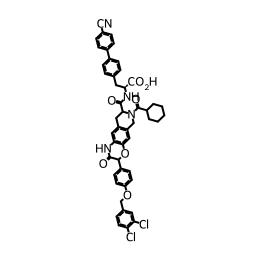 N#Cc1ccc(-c2ccc(C[C@H](NC(=O)C3Cc4cc5c(cc4CN3C(=O)C3CCCCC3)OC(c3ccc(OCc4ccc(Cl)c(Cl)c4)cc3)C(=O)N5)C(=O)O)cc2)cc1